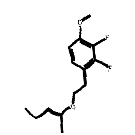 CCCC(C)OCCc1ccc(OC)c(F)c1F